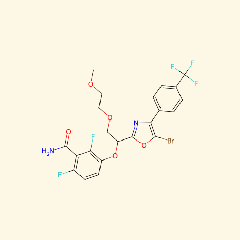 COCCOCC(Oc1ccc(F)c(C(N)=O)c1F)c1nc(-c2ccc(C(F)(F)F)cc2)c(Br)o1